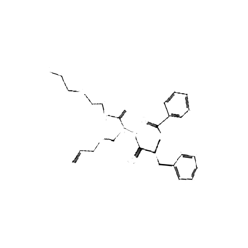 C=CCSC[C@H](NC(=O)[C@H](Cc1ccccc1)SC(=O)c1ccccc1)C(=O)OCCOCCCl